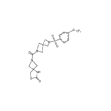 O=C1NC2(CO1)CN(C(=O)N1CC3(C1)CN(S(=O)(=O)c1ccc(OC(F)(F)F)cc1)C3)C2